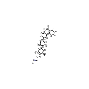 C/C=C/CCc1c(F)cc(-c2c(F)cc(-c3ccc(C[C@@H](C)c4ccccc4)cc3)cc2F)cc1F